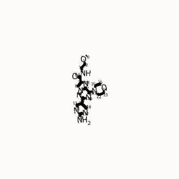 COCCNC(=O)c1cn2nc(-c3cnc(N)nc3)nc(N3CCOCC3)c2n1